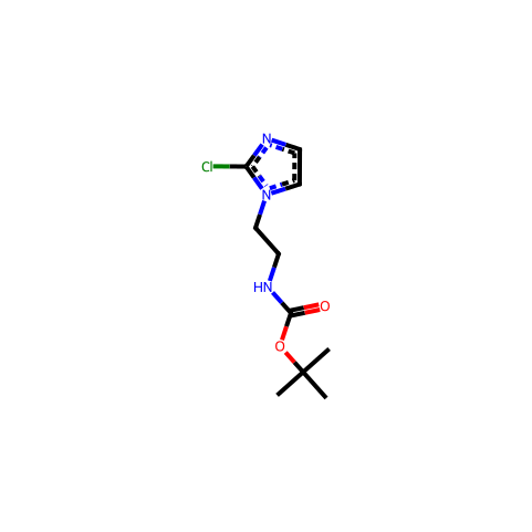 CC(C)(C)OC(=O)NCCn1ccnc1Cl